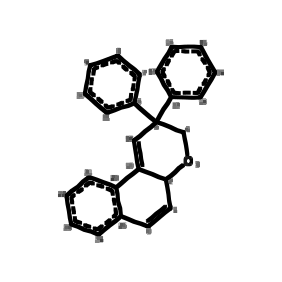 C1=CC2OCC(c3ccccc3)(c3ccccc3)C=C2c2ccccc21